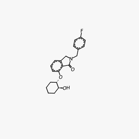 O=C1c2c(cccc2O[C@H]2CCCC[C@@H]2O)CN1Cc1ccc(F)cc1